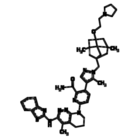 Cc1c(Nc2nc3ccccc3s2)nnc2c1CCCN2c1ccc(-c2cnn(CC34CC5(C)CC6(OCCN7CCCC7)CC(C)(C3)C56C4)c2C)c(C(N)=O)n1